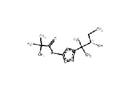 CC[C@H](O)C(C)(C)c1cc(NC(=O)C(C)(C)C)on1